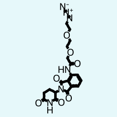 [N-]=[N+]=NCCOCCOCC(=O)Nc1cccc2c1C(=O)N(C1CCC(=O)NC1=O)C2=O